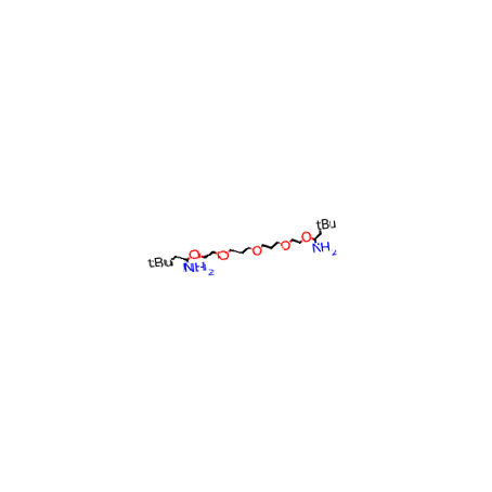 CC(C)(C)CC(N)OCCOCCCOCCCOCCOC(N)CC(C)(C)C